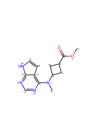 COC(=O)C1CC(N(C)c2ncnc3[nH]ccc23)C1